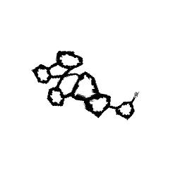 Brc1cccc(-c2ccc3c4c(ccc3c2)C2(c3ccccc3-c3ccccc32)c2ccccc2-4)c1